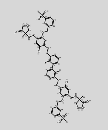 Cc1c(COc2cc(OCc3cccc(S(C)(=O)=O)c3)c(CNC(C)(CO)C(=O)O)cc2Cl)cccc1-c1cccc(COc2cc(OCc3cccc(S(C)(=O)=O)c3)c(CN[C@@](C)(CO)C(=O)O)cc2Cl)c1C